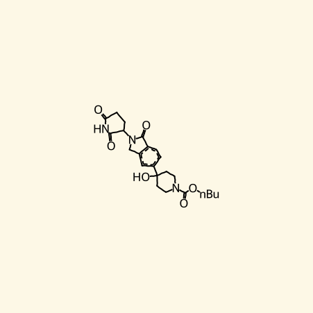 CCCCOC(=O)N1CCC(O)(c2ccc3c(c2)CN(C2CCC(=O)NC2=O)C3=O)CC1